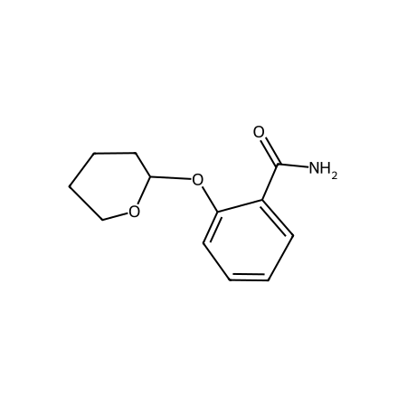 NC(=O)c1ccccc1OC1CCCCO1